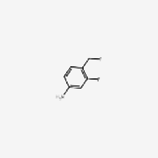 Nc1ccc(CF)c(F)c1